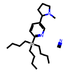 C#N.CCC[CH2][Sn]([CH2]CCC)([CH2]CCC)[c]1ccc(C2CCCN2C)cn1